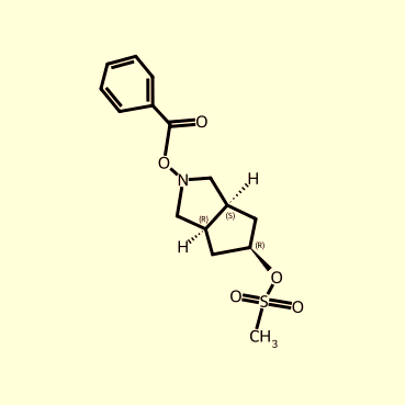 CS(=O)(=O)O[C@@H]1C[C@@H]2CN(OC(=O)c3ccccc3)C[C@@H]2C1